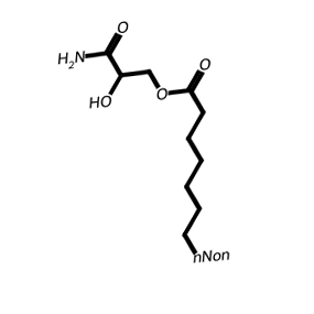 CCCCCCCCCCCCCCCC(=O)OCC(O)C(N)=O